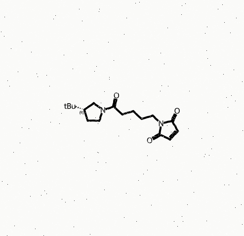 CC(C)(C)[C@H]1CCN(C(=O)CCCCN2C(=O)C=CC2=O)C1